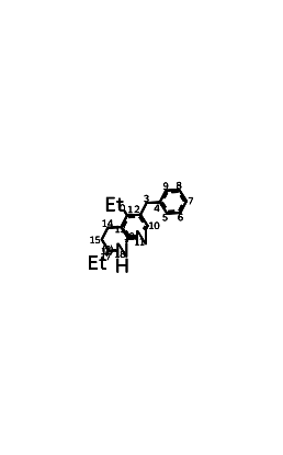 CCc1c(Cc2ccccc2)cnc2c1CC[C@H](CC)N2